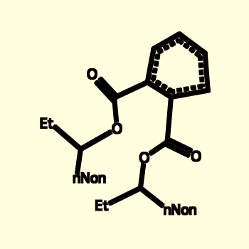 CCCCCCCCCC(CC)OC(=O)c1ccccc1C(=O)OC(CC)CCCCCCCCC